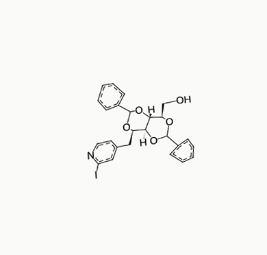 OC[C@H]1OC(c2ccccc2)O[C@@H]2[C@@H]1OC(c1ccccc1)O[C@@H]2Cc1ccnc(I)c1